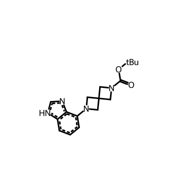 CC(C)(C)OC(=O)N1CC2(C1)CN(c1cccc3[nH]cnc13)C2